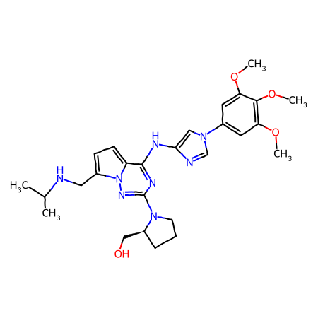 COc1cc(-n2cnc(Nc3nc(N4CCC[C@H]4CO)nn4c(CNC(C)C)ccc34)c2)cc(OC)c1OC